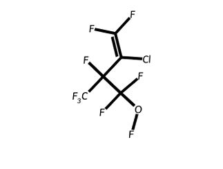 FOC(F)(F)C(F)(C(Cl)=C(F)F)C(F)(F)F